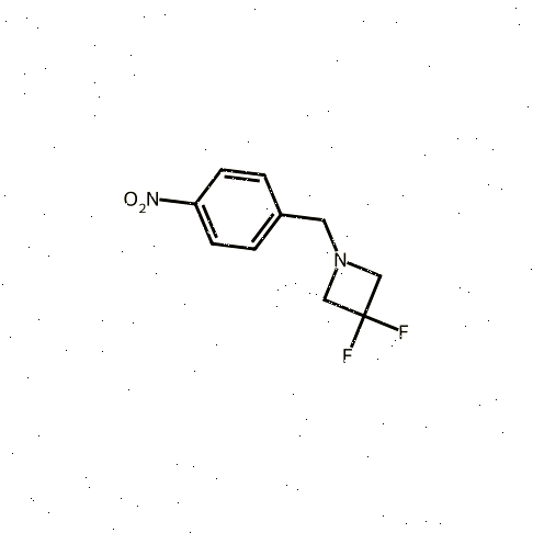 O=[N+]([O-])c1ccc(CN2CC(F)(F)C2)cc1